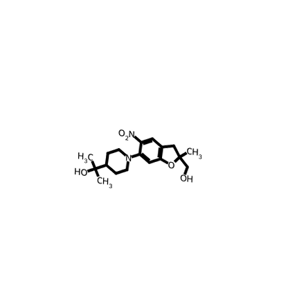 CC1(CO)Cc2cc([N+](=O)[O-])c(N3CCC(C(C)(C)O)CC3)cc2O1